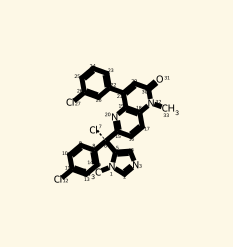 Cn1cncc1[C@@](Cl)(c1ccc(Cl)cc1)c1ccc2c(n1)c(-c1cccc(Cl)c1)cc(=O)n2C